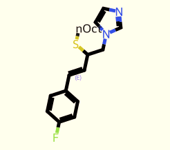 CCCCCCCCSC(/C=C/c1ccc(F)cc1)Cn1ccnc1